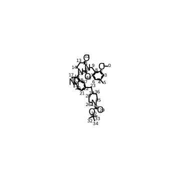 COc1cc(C)ccc1CN1C(=O)CCN(c2cnn3ccc(CC4CCN(C(=O)OC(C)(C)C)CC4)cc23)C1=O